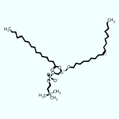 CCCCCCCC/C=C\CCCCCCCCOC[C@H](COP(=O)([O-])OCC[N+](C)(C)C)OC(=O)CCCCCCCCCCCCCCC